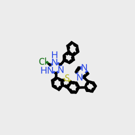 ClC1NC(c2ccc3ccccc3c2)=NC(c2cccc3c2sc2cc(-c4ccccc4-c4cnccn4)ccc23)N1